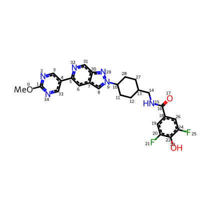 COc1ncc(-c2cc3cn(C4CCC(CNC(=O)c5cc(F)c(O)c(F)c5)CC4)nc3cn2)cn1